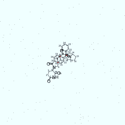 O=C1CCC(N2Cc3cc(C(=O)N4CC5CCC(C4)N5C(c4ccccc4)c4ccccc4)ccc3C2=O)C(=O)N1